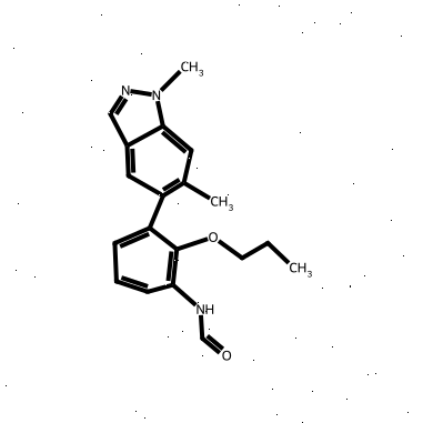 CCCOc1c(NC=O)cccc1-c1cc2cnn(C)c2cc1C